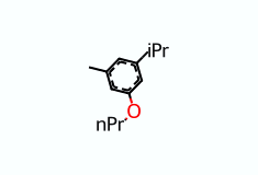 CCCOc1cc(C)cc(C(C)C)c1